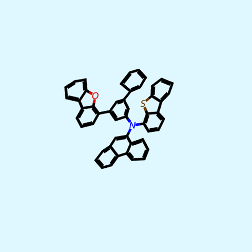 c1ccc(-c2cc(-c3cccc4c3oc3ccccc34)cc(N(c3cc4ccccc4c4ccccc34)c3cccc4c3sc3ccccc34)c2)cc1